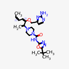 C=C(/C(=C\C=C/C)OCc1ccnc(N)n1)N1CCN(C(=O)Nc2nnc(C(C)(C)C)o2)CC1